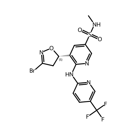 CNS(=O)(=O)c1cnc(Nc2ccc(C(F)(F)F)cn2)c([C@@H]2CC(Br)=NO2)c1